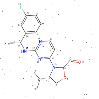 CC(C)[C@H]1COC(C=O)N1c1ccnc(N[C@H](C)c2cccc(F)c2)n1